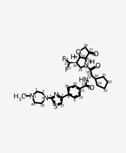 CN1CCN(c2nc(-c3ccc(C(=O)N[C@H](C(=O)N4C[C@@H](C(F)F)[C@H]5OCC(=O)[C@H]54)C4CCCC4)cc3)cs2)CC1